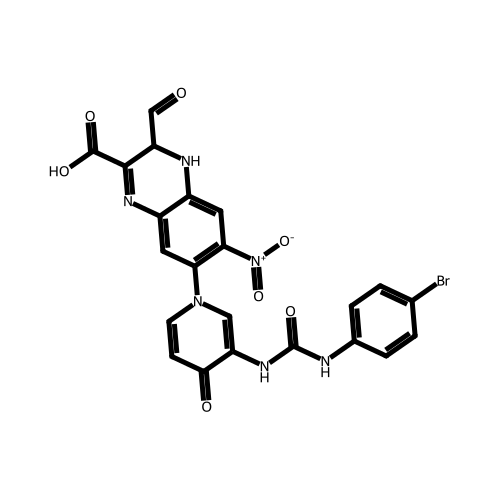 O=CC1Nc2cc([N+](=O)[O-])c(-n3ccc(=O)c(NC(=O)Nc4ccc(Br)cc4)c3)cc2N=C1C(=O)O